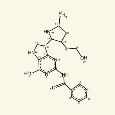 Cc1nc(NC(=O)c2ccccc2)nc2c1NCN2C1BC(C)CC1CCO